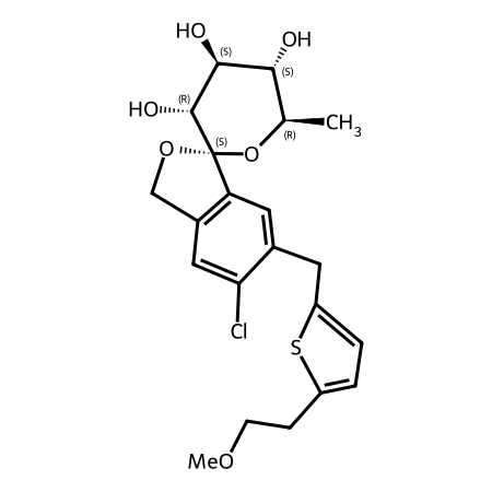 COCCc1ccc(Cc2cc3c(cc2Cl)CO[C@]32O[C@H](C)[C@@H](O)[C@H](O)[C@H]2O)s1